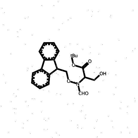 CC(C)(C)OC(=O)C(CO)N(C=O)OCC1c2ccccc2-c2ccccc21